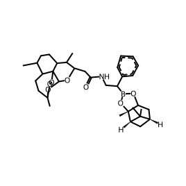 CC1CCC2C(C)C(CC(=O)NCC(B3OC4C[C@@H]5C[C@@H](C5(C)C)[C@]4(C)O3)c3ccccc3)OC3OC4(C)CCC1C32OO4